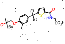 CCC(CC)(c1ccc(OCC(C)(O)C(C)(C)C)c(C)c1)c1ccc(C(=O)NCC(=O)O)s1